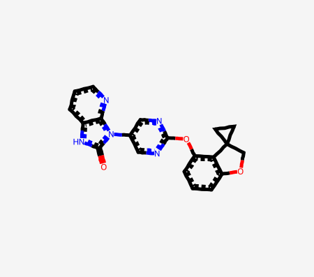 O=c1[nH]c2cccnc2n1-c1cnc(Oc2cccc3c2C2(CC2)CO3)nc1